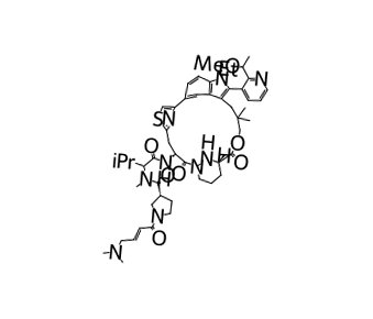 CCn1c(-c2cccnc2[C@H](C)OC)c2c3cc(ccc31)-c1csc(n1)C[C@H](NC(=O)C(C(C)C)N(C)C(=O)[C@H]1CCN(C(=O)/C=C/CN(C)C)C1)C(=O)N1CCC[C@H](N1)C(=O)OCC(C)(C)C2